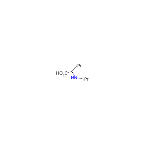 CC(C)NC(C(=O)O)C(C)C